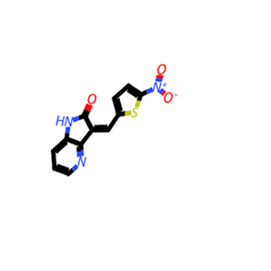 O=C1Nc2cccnc2C1=Cc1ccc([N+](=O)[O-])s1